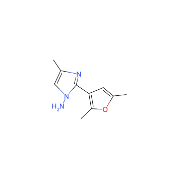 Cc1cn(N)c(-c2cc(C)oc2C)n1